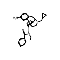 Nc1ccc2c(c1)C13CCN(CC4CC4)C(C2)C12CCC(N(CI)C(=O)c1ccccc1)C3CO2